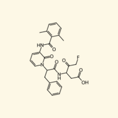 Cc1cccc(C)c1C(=O)Nc1cccn(C(Cc2ccccc2)C(=O)NC(CC(=O)O)C(=O)CF)c1=O